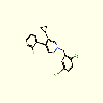 Fc1ccccc1C1=CCN(Cc2cc(Cl)ccc2Cl)C=C1C1CC1